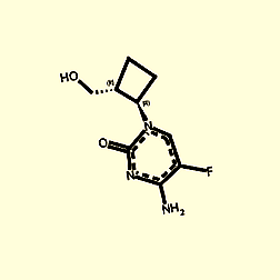 Nc1nc(=O)n([C@@H]2CC[C@H]2CO)cc1F